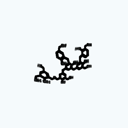 OCC1=CC(CO)C(O)C(COCc2cc(Cc3cc(Cc4cc(CO)c(O)c(Cc5cccc(CO)c5O)c4)c(O)c(Cc4cc(CO)ccc4O)c3)cc(CO)c2O)=C1